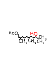 C=C(C)C(O)CC/C(C)=C/CC/C(C)=C\COC(C)=O